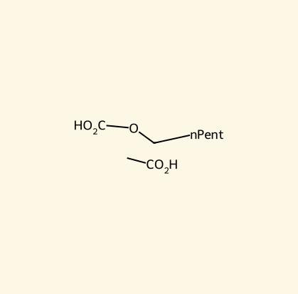 CC(=O)O.CCCCCCOC(=O)O